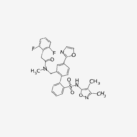 Cc1noc(NS(=O)(=O)c2ccccc2-c2ccc(-c3ncco3)cc2CN(C)C(=O)Cc2c(F)cccc2F)c1C